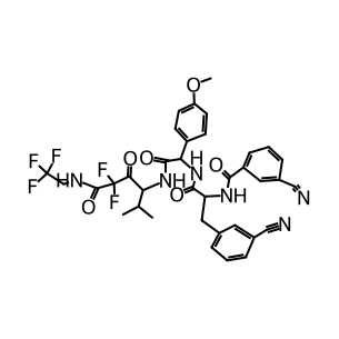 COc1ccc(C(NC(=O)C(Cc2cccc(C#N)c2)NC(=O)c2cccc(C#N)c2)C(=O)NC(C(=O)C(F)(F)C(=O)NCC(F)(F)F)C(C)C)cc1